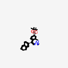 CN1Cc2cc(B3OC(C)(C)C(C)(C)O3)ccc2[C@H](c2ccc3ccccc3c2)C1